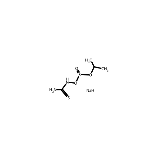 CC(C)OS(=O)ONC(N)=S.[NaH]